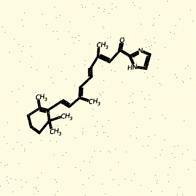 CC(C=CC1=C(C)CCCC1(C)C)=CC=CC(C)=CC(=O)c1ncc[nH]1